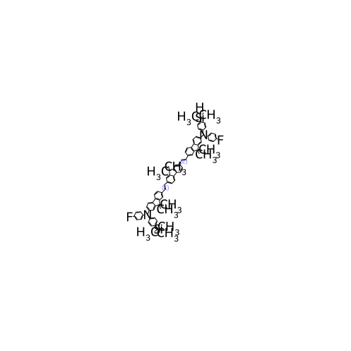 C[SiH](C)c1ccc(N(c2ccc(F)cc2)c2ccc3c(c2)C(C)(C)c2cc(/C=C/c4ccc5c(c4)C(C)(C)c4cc(/C=C/c6ccc7c(c6)C(C)(C)c6cc(N(c8ccc(F)cc8)c8ccc([Si](C)(C)C)cc8)ccc6-7)ccc4-5)ccc2-3)cc1